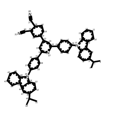 CC(C)c1ccc2c(c1)c1ccccc1n2-c1ccc(-c2cc(-c3ccc(C#N)c(C#N)c3)cc(-c3ccc(-n4c5ccccc5c5cc(C(C)C)ccc54)cc3)n2)cc1